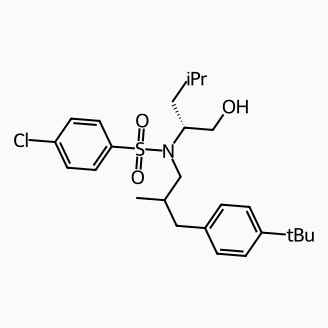 CC(C)C[C@H](CO)N(CC(C)Cc1ccc(C(C)(C)C)cc1)S(=O)(=O)c1ccc(Cl)cc1